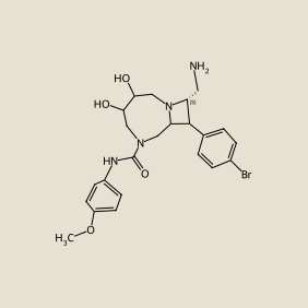 COc1ccc(NC(=O)N2CC(O)C(O)CN3C(C2)C(c2ccc(Br)cc2)[C@H]3CN)cc1